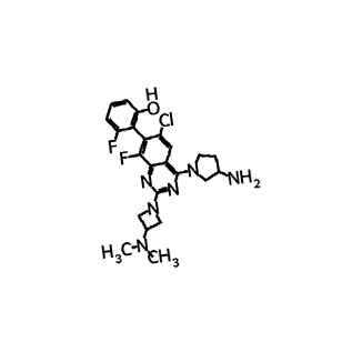 CN(C)C1CN(c2nc(N3CCC(N)C3)c3cc(Cl)c(-c4c(O)cccc4F)c(F)c3n2)C1